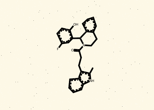 Cc1[nH]c2ccccc2c1CCC(=O)N1CCc2ccccc2C1c1cc(F)ccc1O